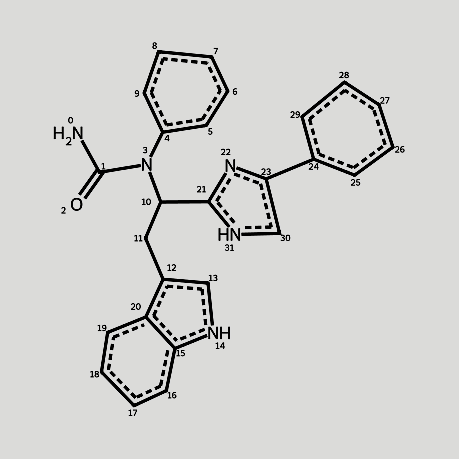 NC(=O)N(c1ccccc1)C(Cc1c[nH]c2ccccc12)c1nc(-c2ccccc2)c[nH]1